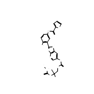 CC(C)(COC(=O)Nc1cnc2nc(-c3cc(NC(=O)c4ccco4)ccc3Cl)[nH]c2c1)NC(=O)OC(C)(C)C